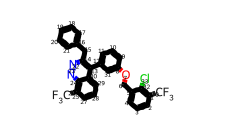 FC(F)(F)c1cccc(COc2cccc(-c3c(Cc4ccccc4)nnc4c(C(F)(F)F)cccc34)c2)c1Cl